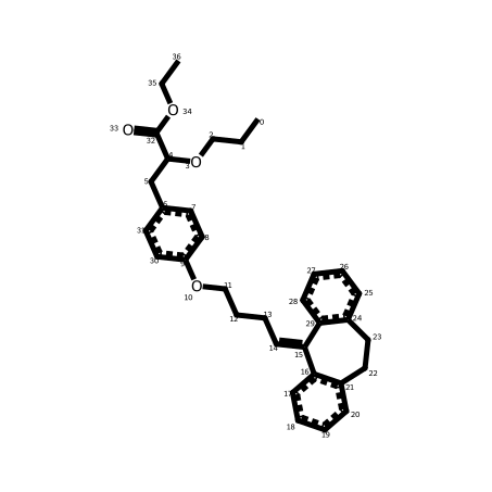 CCCOC(Cc1ccc(OCCCC=C2c3ccccc3CCc3ccccc32)cc1)C(=O)OCC